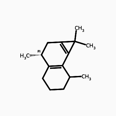 CC1CCCC2=C1C1=C(C[C@H]2C)C1(C)C